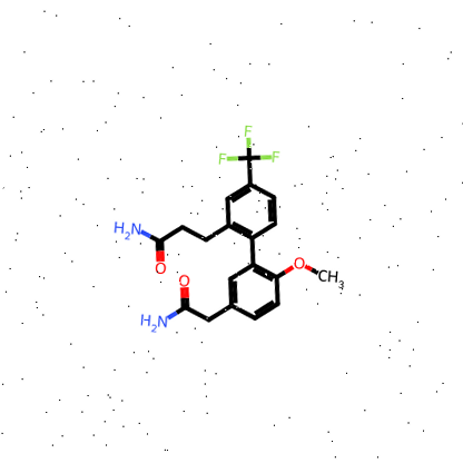 COc1ccc(CC(N)=O)cc1-c1ccc(C(F)(F)F)cc1CCC(N)=O